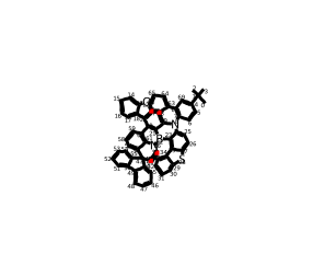 CC(C)(C)c1ccc(N2c3cc4oc5ccccc5c4c4c3B(c3c2ccc2sc5ccccc5c32)N2c3ccccc3C3(c5ccccc5-c5ccccc53)c3cccc-4c32)c(-c2ccccc2)c1